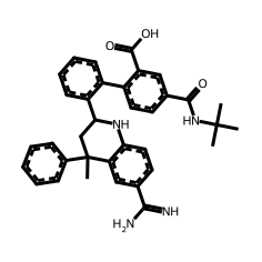 CC(C)(C)NC(=O)c1ccc(-c2ccccc2C2CC(C)(c3ccccc3)c3cc(C(=N)N)ccc3N2)c(C(=O)O)c1